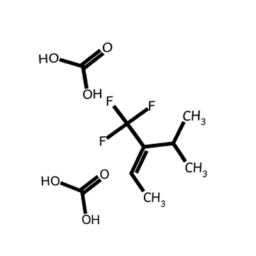 C/C=C(\C(C)C)C(F)(F)F.O=C(O)O.O=C(O)O